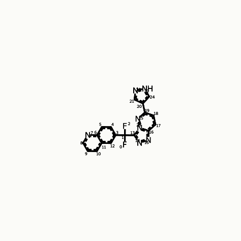 FC(F)(c1ccc2ncccc2c1)c1nnc2ccc(-c3cn[nH]c3)nn12